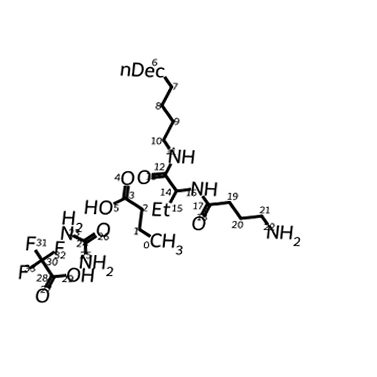 CCCC(=O)O.CCCCCCCCCCCCCCNC(=O)C(CC)NC(=O)CCCN.NC(N)=O.O=C(O)C(F)(F)F